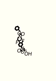 O=C(OCc1ccccc1)N1CCC(F)(c2ccc(N3C[C@H](CO)OC3=O)cc2F)CC1